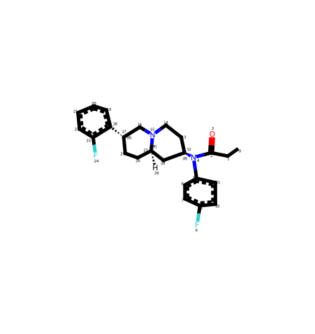 CCC(=O)N(c1ccc(F)cc1)[C@@H]1CCN2C[C@@H](c3ccccc3F)CC[C@@H]2C1